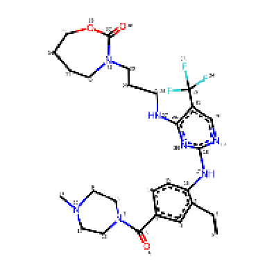 CCc1cc(C(=O)N2CCN(C)CC2)ccc1Nc1ncc(C(F)(F)F)c(NCCCN2CCCCOC2=O)n1